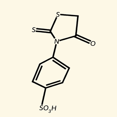 O=C1CSC(=S)N1c1ccc(S(=O)(=O)O)cc1